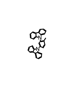 Cc1ccc(-n2c3ccccc3c3ccccc32)cc1-n1c2ccccc2c2ccccc21